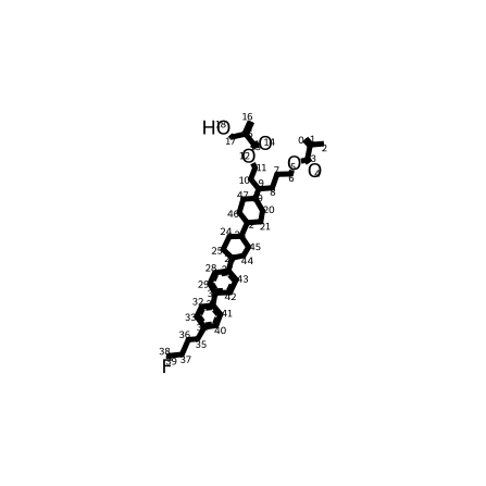 C=C(C)C(=O)OCCCC(CCOC(=O)C(=C)CO)C1CCC(C2CCC(c3ccc(-c4ccc(CCCCF)cc4)cc3)CC2)CC1